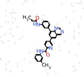 C=CC(=O)Nc1cccc(-c2cc(-c3ccc(C(=O)Nc4cccc(C)c4)nc3)cc3cncnc23)c1